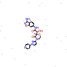 CC1(C(O)C(=O)Nc2ccc3c(N)noc3c2)OCCN(c2ccn(-c3ccncc3)n2)C1=O